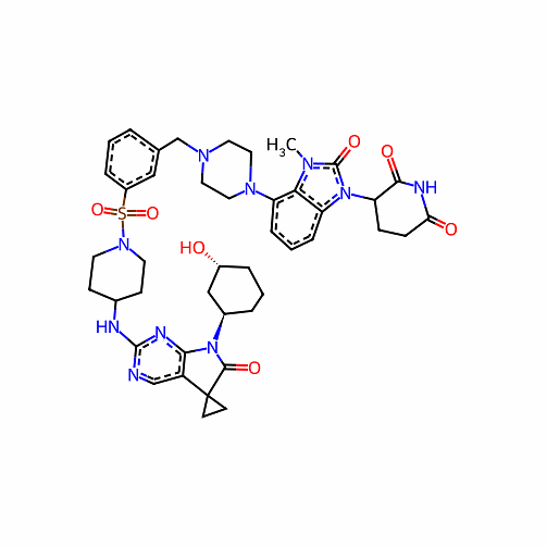 Cn1c(=O)n(C2CCC(=O)NC2=O)c2cccc(N3CCN(Cc4cccc(S(=O)(=O)N5CCC(Nc6ncc7c(n6)N([C@@H]6CCC[C@@H](O)C6)C(=O)C76CC6)CC5)c4)CC3)c21